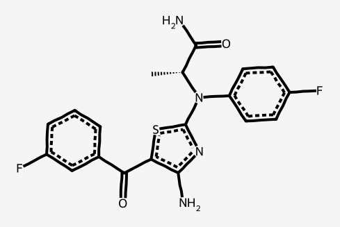 C[C@H](C(N)=O)N(c1ccc(F)cc1)c1nc(N)c(C(=O)c2cccc(F)c2)s1